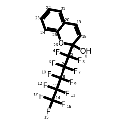 OC1(C(F)(F)C(F)(F)C(F)(F)C(F)(F)C(F)(F)F)C=Cc2ccccc2O1